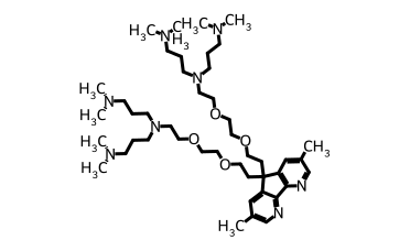 Cc1cnc2c(c1)C(CCOCCOCCN(CCCN(C)C)CCCN(C)C)(CCOCCOCCN(CCCN(C)C)CCCN(C)C)c1cc(C)cnc1-2